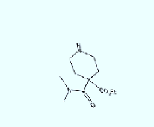 CCOC(=O)C1(C(=O)N(C)C)CCNCC1